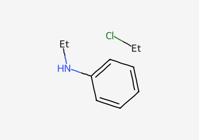 CCCl.CCNc1ccccc1